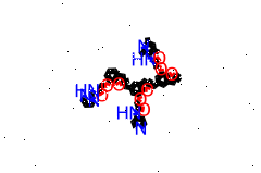 Cc1cc(C)c(NC(=O)COc2cc(CC3(C)Cc4cc(CC5(C)Cc6cccc(OCC(=O)Nc7ncccn7)c6O5)cc(OCC(=O)Nc5ccncc5)c4O3)cc3c2OC(C)(C)C3)c(C)n1